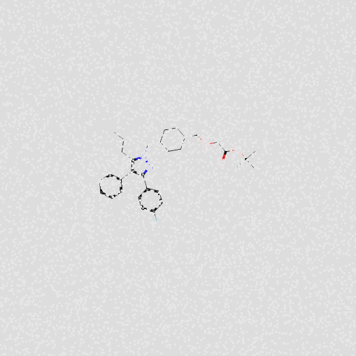 CCCc1c(-c2ccccc2)c(-c2ccc(F)cc2)nn1C[C@H]1CC[C@H](COCC(=O)OC(C)(C)C)CC1